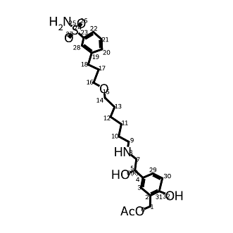 CC(=O)OCc1cc([C@@H](O)CNCCCCCCOCCCc2cccc(S(N)(=O)=O)c2)ccc1O